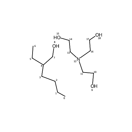 CCCCC(CC)CO.OCCN(CCO)CCO